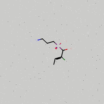 C/C=C(\F)C(O)P(=O)(O)CCCN